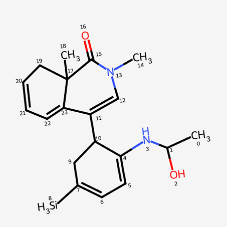 CC(O)NC1=CC=C([SiH3])CC1C1=CN(C)C(=O)C2(C)CC=CC=C12